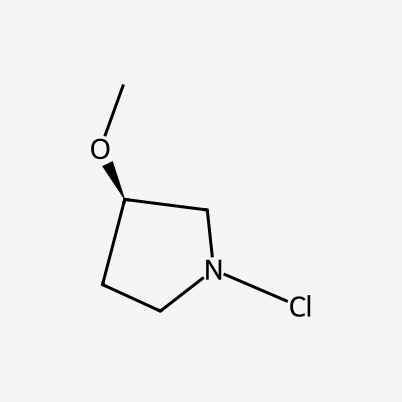 CO[C@@H]1CCN(Cl)C1